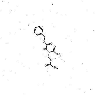 CCCCC(=O)OC[C@H](NC(=O)OCc1ccccc1)C(N)=O